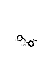 COc1cccc(OCC2=CCCNC2)c1.Cl